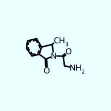 CC1c2ccccc2C(=O)N1C(=O)CN